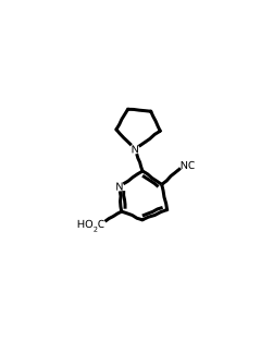 [C-]#[N+]c1ccc(C(=O)O)nc1N1CCCC1